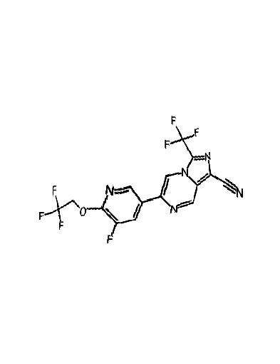 N#Cc1nc(C(F)(F)F)n2cc(-c3cnc(OCC(F)(F)F)c(F)c3)ncc12